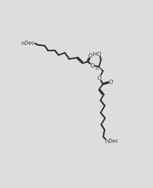 CCCCCCCCCCCCCCCCCC=CC(=O)OC[C@H](CO)OC(=O)C=CCCCCCCCCCCCCCCCCC